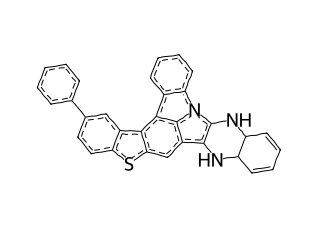 C1=CC2Nc3c(n4c5ccccc5c5c6c(cc3c54)sc3ccc(-c4ccccc4)cc36)NC2C=C1